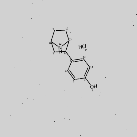 Cl.Oc1ccc(C2CC3CCC2N3)cc1